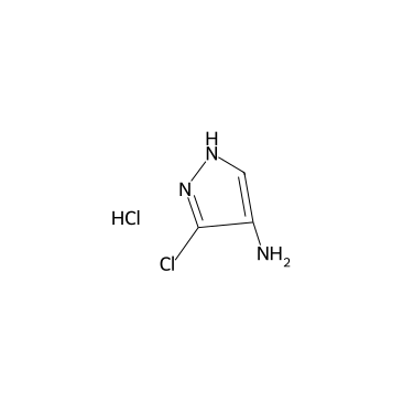 Cl.Nc1c[nH]nc1Cl